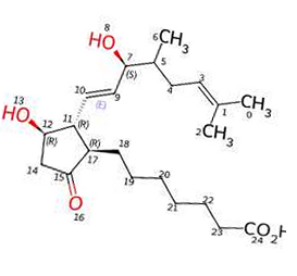 CC(C)=CCC(C)[C@H](O)/C=C/[C@H]1[C@H](O)CC(=O)[C@@H]1CCCCCCC(=O)O